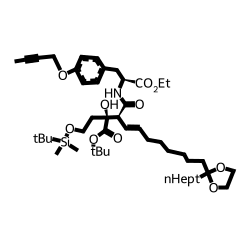 CC#CCOc1ccc(C[C@H](NC(=O)[C@@H](/C=C/CCCCCCC2(CCCCCCC)OCCO2)[C@@](O)(CCO[Si](C)(C)C(C)(C)C)C(=O)OC(C)(C)C)C(=O)OCC)cc1